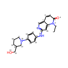 CCn1c(=O)ccc2cnc(Nc3ccc(N4CCCC(CO)C4)cc3)cc21